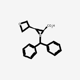 O=C(O)[C@@H]1[C@H](C2COC2)N1C(c1ccccc1)c1ccccc1